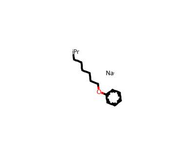 CC(C)CCCCCCOc1ccccc1.[Na]